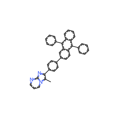 Cc1c(-c2ccc(-c3ccc4c(-c5ccccc5)c5ccccc5c(-c5ccccc5)c4c3)cc2)nc2ncccn12